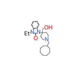 CCn1c(=O)n(C2(CO)CCN(CC3CCCCCCC3)CC2)c2ccccc21